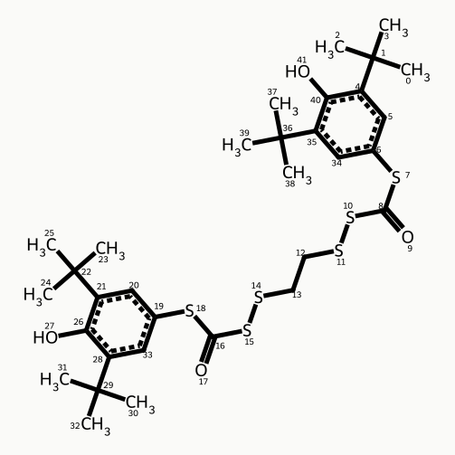 CC(C)(C)c1cc(SC(=O)SSCCSSC(=O)Sc2cc(C(C)(C)C)c(O)c(C(C)(C)C)c2)cc(C(C)(C)C)c1O